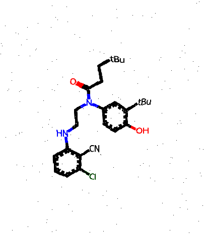 CC(C)(C)CCC(=O)N(CCNc1cccc(Cl)c1C#N)c1ccc(O)c(C(C)(C)C)c1